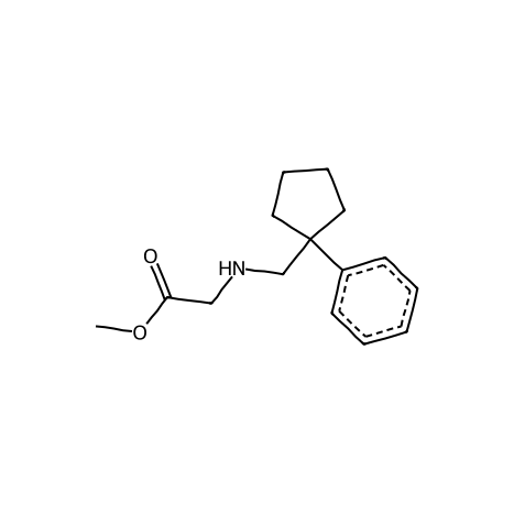 COC(=O)CNCC1(c2ccccc2)CCCC1